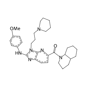 COc1ccc(Nc2nc3ccc(C(=O)N4CCCC5CCCCC54)nc3n2CCCN2CCCCC2)cc1